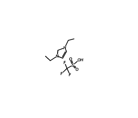 CCN1C=CN(CC)C1.O=S(=O)(O)C(F)(F)F